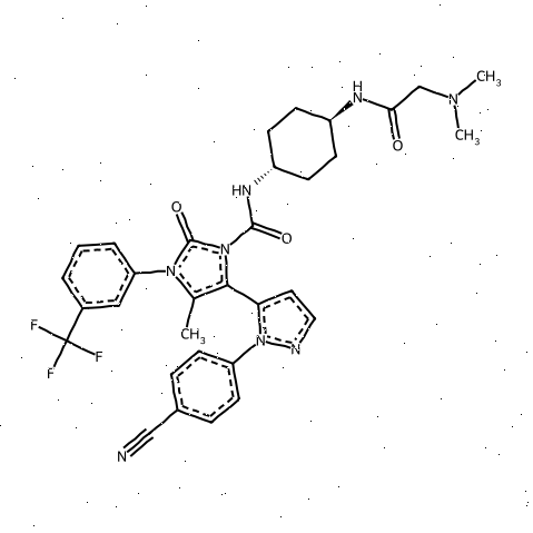 Cc1c(-c2ccnn2-c2ccc(C#N)cc2)n(C(=O)N[C@H]2CC[C@H](NC(=O)CN(C)C)CC2)c(=O)n1-c1cccc(C(F)(F)F)c1